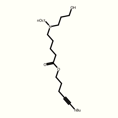 CCCCC#CCCCOC(=O)CCCCN(CCCO)CCCCCCCC